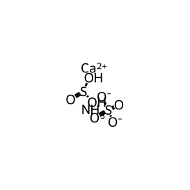 N.O=S(=O)([O-])[O-].O=S(O)O.[Ca+2]